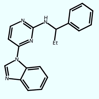 CCC(Nc1nccc(-n2cnc3ccccc32)n1)c1ccccc1